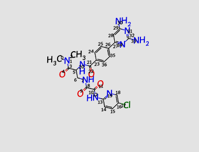 CN(C)C(=O)C(CNC(=O)C(=O)Nc1ccc(Cl)cn1)NC(=O)c1ccc(-c2cc(N)nc(N)n2)cc1